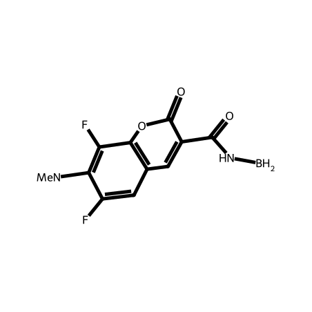 BNC(=O)c1cc2cc(F)c(NC)c(F)c2oc1=O